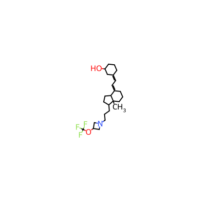 CC12CCC/C(=C\C=C3\CCCC(O)C3)C1CCC2CCCN1CC(OC(F)(F)F)C1